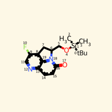 CC(C)(C)[Si](C)(C)OCC1Cc2c(F)cnc3ccc(=O)n1c23